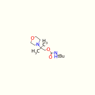 CC(C)(C)NC(=O)OCC(C)(C)N1CCOCC1